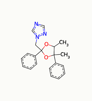 CC1OC(Cn2cncn2)(c2ccccc2)OC1(C)c1ccccc1